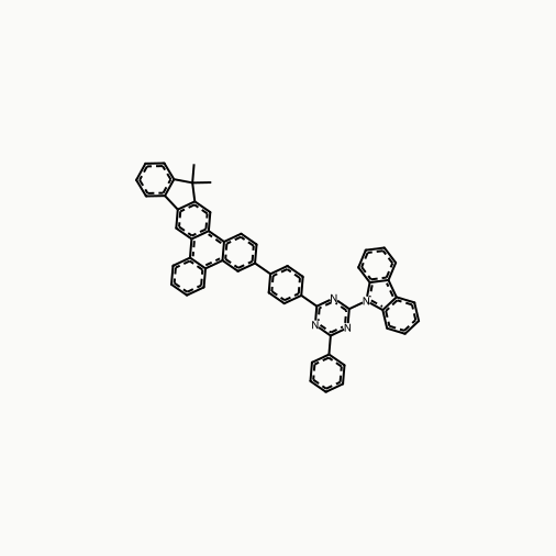 CC1(C)c2ccccc2-c2cc3c4ccccc4c4cc(-c5ccc(-c6nc(-c7ccccc7)nc(-n7c8ccccc8c8ccccc87)n6)cc5)ccc4c3cc21